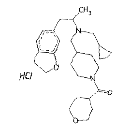 CC(Cc1ccc2c(c1)OCC2)N(CC1CC1)CC1CCN(C(=O)C2CCOCC2)CC1.Cl